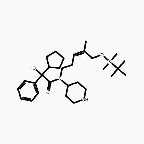 C/C(=C/CCN(C(=O)C(O)(c1ccccc1)C1CCCC1)C1CCNCC1)CO[Si](C)(C)C(C)(C)C